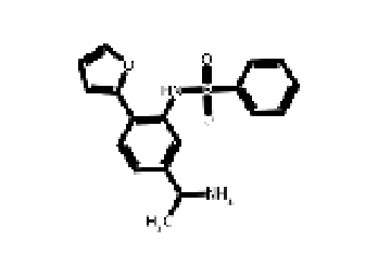 CC(N)c1ccc(-c2ccco2)c(NS(=O)(=O)c2ccccc2)c1